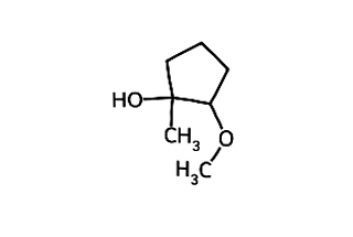 COC1CCCC1(C)O